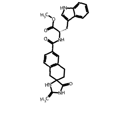 C=C1NC(=O)C2(CCc3cc(C(=O)N[C@@H](Cc4c[nH]c5ccccc45)C(=O)OC)ccc3C2)N1